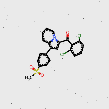 CS(=O)(=O)c1ccc(-c2cc(C(=O)c3c(Cl)cccc3Cl)n3ccccc23)cc1